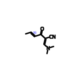 C/C=C/C(=O)C(C#N)=CN(C)C